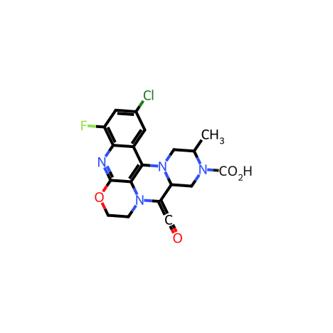 CC1CN2c3c4c(nc5c(F)cc(Cl)cc35)OCCN4C(=C=O)C2CN1C(=O)O